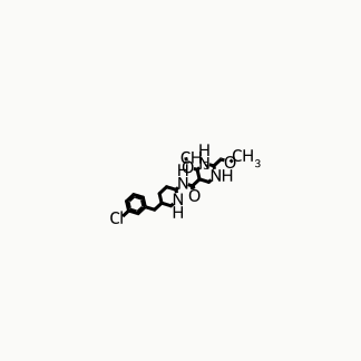 COCC1NCC(C(=O)NC2CCC(Cc3cccc(Cl)c3)CN2)C(OC)N1